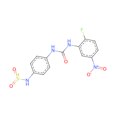 O=C(Nc1ccc(N[SH](=O)=O)cc1)Nc1cc([N+](=O)[O-])ccc1F